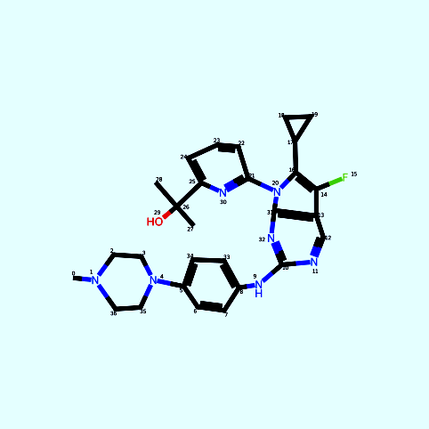 CN1CCN(c2ccc(Nc3ncc4c(F)c(C5CC5)n(-c5cccc(C(C)(C)O)n5)c4n3)cc2)CC1